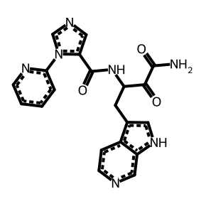 NC(=O)C(=O)C(Cc1c[nH]c2cnccc12)NC(=O)c1cncn1-c1ccccn1